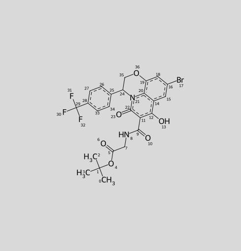 CC(C)(C)OC(=O)CNC(=O)c1c(O)c2cc(Br)cc3c2n(c1=O)C(c1ccc(C(F)(F)F)cc1)CO3